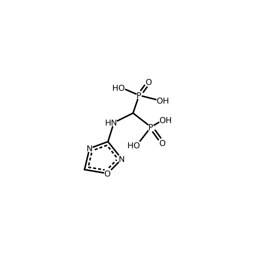 O=P(O)(O)C(Nc1ncon1)P(=O)(O)O